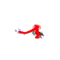 C=C(C)CO[C@H](C[C@H](C(C)C)N(C)C(=O)[C@@H](NC(=O)[C@H]1CCCC[N+]1(C)Cc1ccc(O[C@@H]2O[C@H](C(=O)O)[C@@H](O)[C@H](O)[C@H]2O)c(NC(=O)OCCOCCOCCOCCOCCOCCOCCOCCOCCOCCOCCOCCC(=O)NCCCC[C@H](N)C(=O)NCCC)c1)[C@@H](C)CC)c1nc(C(=O)N[C@@H](Cc2ccccc2)C[C@H](C)C(=O)O)cs1